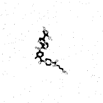 Cc1cc(Nc2nccn3c(-c4c[nH]nc4C(F)(F)F)cnc23)ccc1C(=O)N1CCN(C(=O)NCCCN)CC1